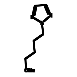 COCCCCn1nccn1